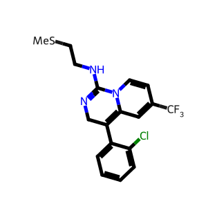 CSCCNC1=NCC(c2ccccc2Cl)=C2C=C(C(F)(F)F)C=CN12